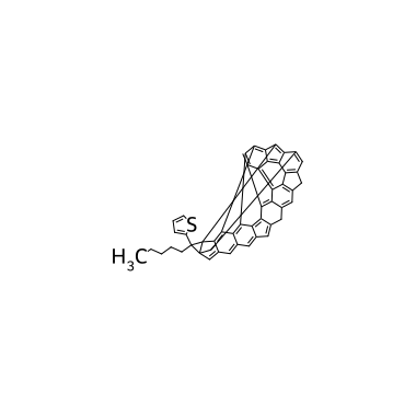 CCCCCC1(c2cccs2)C23C=c4cc5cc6cc7c8c6c6c5c5c4C21c1c2c(cc4c9c%10c(cc(c%11c%10c%10c(c1c5c6c%10c8%11)c29)C7)C4)C3